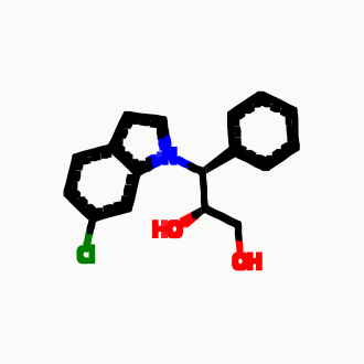 OC[C@@H](O)[C@H](c1ccccc1)n1ccc2ccc(Cl)cc21